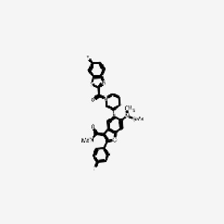 CNC(=O)c1c(-c2ccc(F)cc2)oc2cc(N(C)SC)c([C@H]3CCCN(C(=O)c4nc5ccc(F)cc5s4)C3)cc12